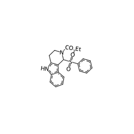 CCOC(=O)N1CCc2[nH]c3ccccc3c2C1S(=O)(=O)c1ccccc1